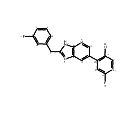 Fc1cccc(Cc2nc3cc(-c4cc(F)ncc4Cl)cnc3[nH]2)c1